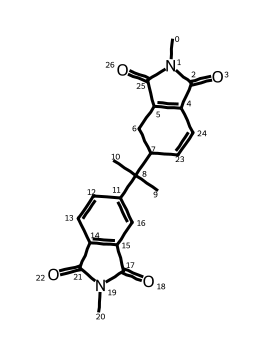 CN1C(=O)C2=C(CC(C(C)(C)c3ccc4c(c3)C(=O)N(C)C4=O)C=C2)C1=O